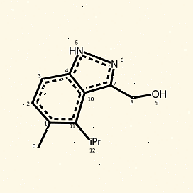 Cc1ccc2[nH]nc(CO)c2c1C(C)C